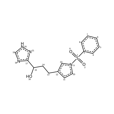 O=S(=O)(c1ccccc1)n1ccc(CCC(O)c2nc[nH]n2)c1